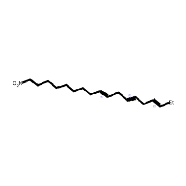 CC/C=C/C/C=C/C/C=C/CCCCCCCC[N+](=O)[O-]